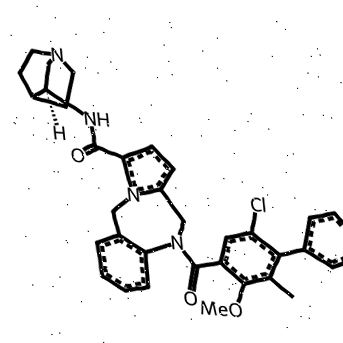 COc1c(C(=O)N2Cc3ccc(C(=O)N[C@@H]4CN5CCC4CC5)n3Cc3ccccc32)cc(Cl)c(-c2ccccc2)c1C